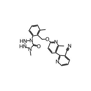 Cc1cccc(N2NNN(C)C2=O)c1COc1ccc(-c2ncccc2C#N)c(C)n1